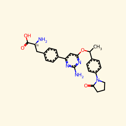 CC(Oc1cc(-c2ccc(C[C@H](N)C(=O)O)cc2)nc(N)n1)c1ccc(N2CCCC2=O)cc1